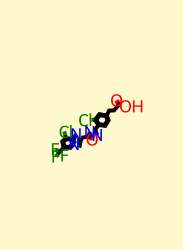 O=C(O)CCc1ccc(-c2noc(-c3cn4cc(C(F)(F)F)cc(Cl)c4n3)n2)c(Cl)c1